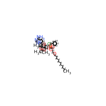 CCCCCCCCCCCOCCOP(=O)(OC[C@H]1O[C@@](C)(c2ccc3c(N)ncnn23)[C@@H]2OC(C)(C)O[C@@H]21)Oc1ccccc1Cl